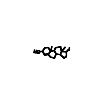 CC12CC[C@H](O)C=C1CCC1C2CCC2(C)C(I)CCC12